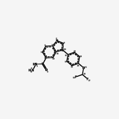 NNC(=O)c1ccc2ncn(-c3ccc(OC(F)F)cc3)c2c1